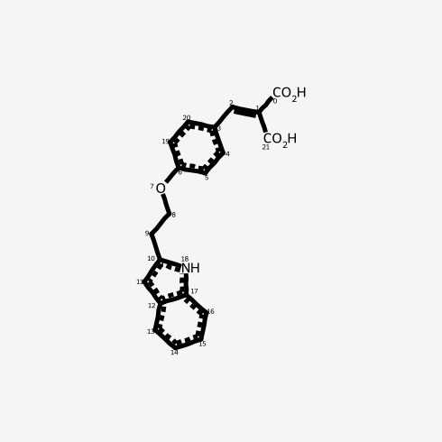 O=C(O)C(=Cc1ccc(OCCc2cc3ccccc3[nH]2)cc1)C(=O)O